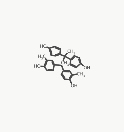 CC(C)(c1ccc(O)cc1)c1ccc(O)cc1.Cc1cc(Cc2ccc(O)c(C)c2)ccc1O